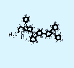 C=C/C=C\c1c(C)c2cc(-n3c4ccccc4c4cc(-c5ccc6c(c5)c5ccccc5n6-c5ccccc5)ccc43)ccc2n1-c1ccccc1